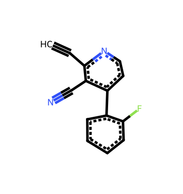 C#Cc1nccc(-c2ccccc2F)c1C#N